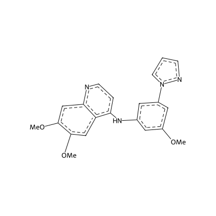 COc1cc(Nc2ccnc3cc(OC)c(OC)cc23)cc(-n2cccn2)c1